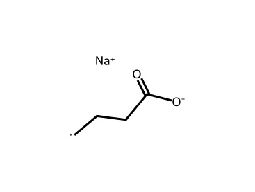 [CH2]CCC(=O)[O-].[Na+]